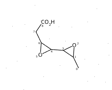 CC1OC1C1OC1CC(=O)O